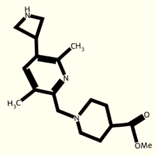 COC(=O)C1CCN(Cc2nc(C)c(C3CNC3)cc2C)CC1